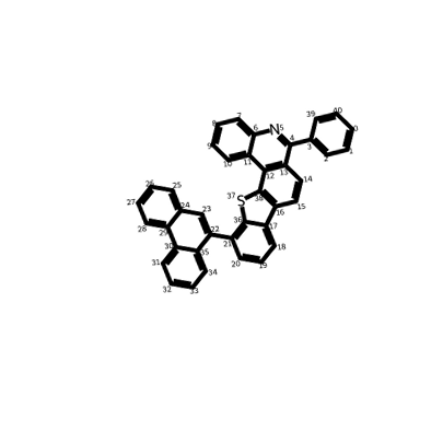 c1ccc(-c2nc3ccccc3c3c2ccc2c4cccc(-c5cc6ccccc6c6ccccc56)c4sc23)cc1